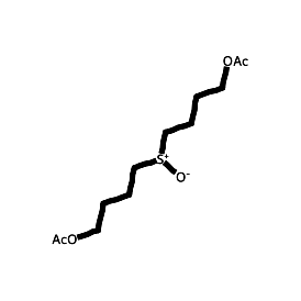 CC(=O)OCCCC[S+]([O-])CCCCOC(C)=O